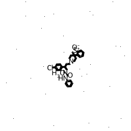 CN(CC(CCN1CCC2(CC1)C[S+]([O-])c1ccccc12)c1ccc(Cl)cc1)C(=O)Nc1ccccc1